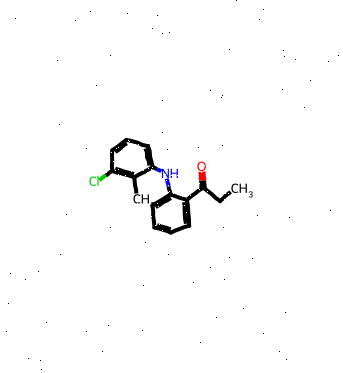 CCC(=O)c1ccccc1Nc1cccc(Cl)c1C